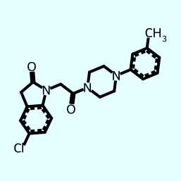 Cc1cccc(N2CCN(C(=O)CN3C(=O)Cc4cc(Cl)ccc43)CC2)c1